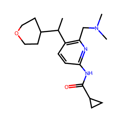 CC(c1ccc(NC(=O)C2CC2)nc1CN(C)C)C1CCOCC1